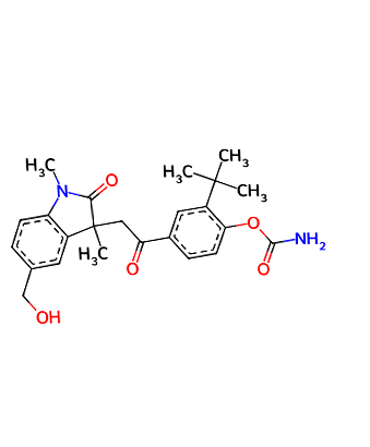 CN1C(=O)C(C)(CC(=O)c2ccc(OC(N)=O)c(C(C)(C)C)c2)c2cc(CO)ccc21